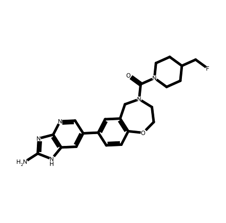 Nc1nc2ncc(-c3ccc4c(c3)CN(C(=O)N3CCC(CF)CC3)CCO4)cc2[nH]1